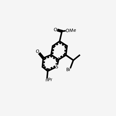 CCCc1cc(=O)c2cc(C(=O)OC)cc(C(C)Br)c2s1